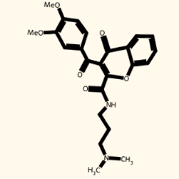 COc1ccc(C(=O)c2c(C(=O)NCCCN(C)C)oc3ccccc3c2=O)cc1OC